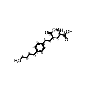 CC(C[C@@H](CCc1ccc(CCCCO)cc1)C(=O)O)C(=O)O